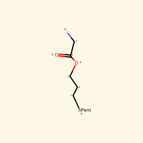 CCCCCCCCOC(=O)CI